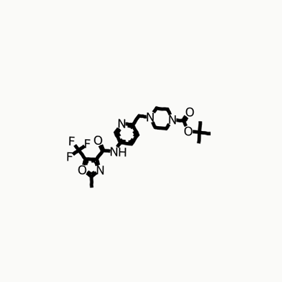 Cc1nc(C(=O)Nc2ccc(CN3CCN(C(=O)OC(C)(C)C)CC3)nc2)c(C(F)(F)F)o1